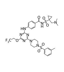 Cc1cccc(S(=O)(=O)N2CCN(c3nc(Nc4ccc(C(=O)NS(=O)(=O)C5(CN(C)C)CC5)cc4)nc(OCC(F)(F)F)n3)CC2)c1